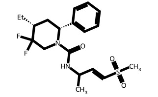 CC[C@@H]1C[C@H](c2ccccc2)N(C(=O)NC(C)/C=C/S(C)(=O)=O)CC1(F)F